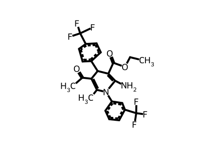 CCOC(=O)C1=C(N)N(c2cccc(C(F)(F)F)c2)C(C)=C(C(C)=O)C1c1ccc(C(F)(F)F)cc1